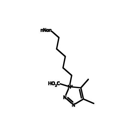 CCCCCCCCCCCCCC[N+]1(C(=O)O)N=NC(C)=C1C